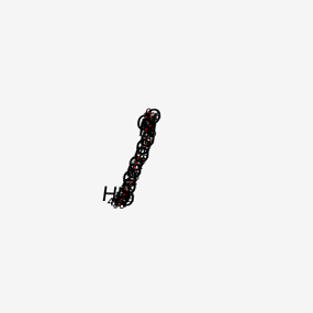 CC1=CC(=O)N(Cc2cn(CCOCCOCCOCCOCCOCCOCCOCCNC(=O)N3CC[C@@H](C)C3)nn2)C1=O